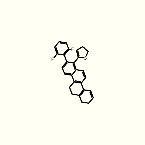 Fc1cccc(F)c1-c1ccc2c3c(ccc2c1C1=CCCS1)C1=C(CCC=C1)CC3